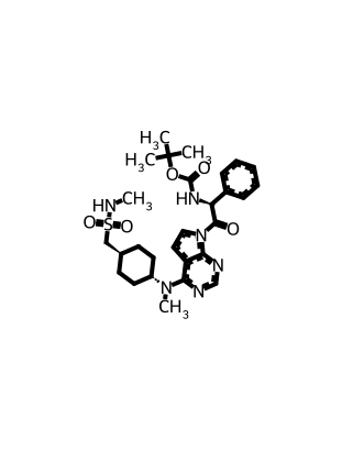 CNS(=O)(=O)C[C@H]1CC[C@H](N(C)c2ncnc3c2ccn3C(=O)[C@@H](NC(=O)OC(C)(C)C)c2ccccc2)CC1